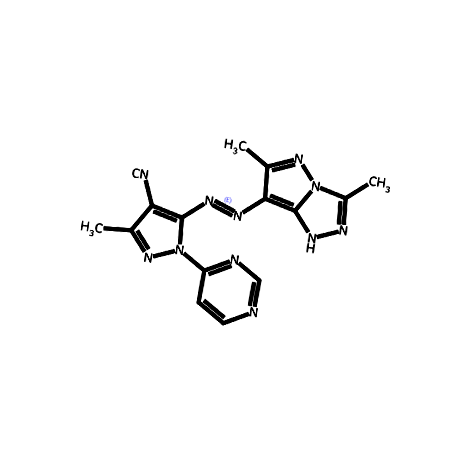 [C-]#[N+]c1c(C)nn(-c2ccncn2)c1/N=N/c1c(C)nn2c(C)n[nH]c12